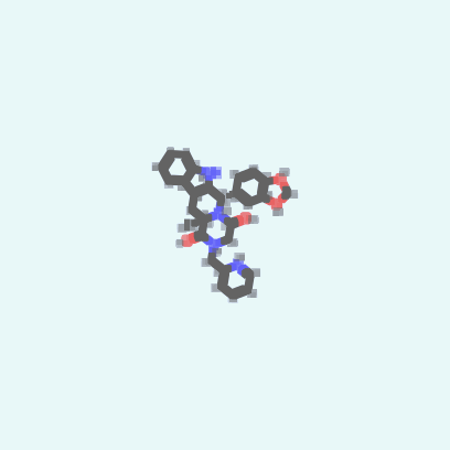 O=C1[C@@H]2Cc3c([nH]c4ccccc34)[C@H](c3ccc4c(c3)OCO4)N2C(=O)CN1Cc1ccccn1